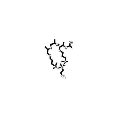 CC(O)COC(C)COCCC[Si](C)(C)O[Si](C)(CCC(F)(F)F)O[Si](C)(C)CCCOCC(C)OC(C)O